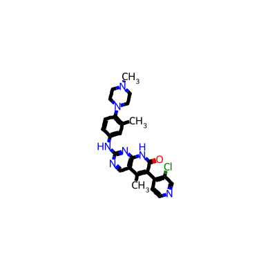 Cc1cc(Nc2ncc3c(C)c(-c4ccncc4Cl)c(=O)[nH]c3n2)ccc1N1CCN(C)CC1